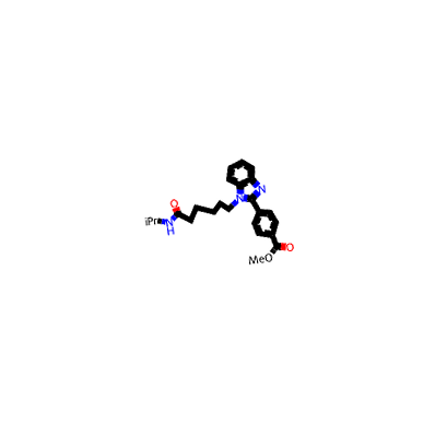 COC(=O)c1ccc(-c2nc3ccccc3n2CCCCCC(=O)NC(C)C)cc1